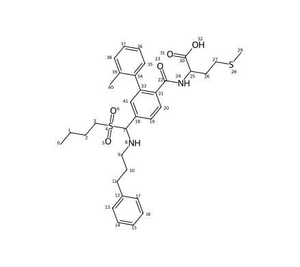 CCCCS(=O)(=O)C(NCCCc1ccccc1)c1ccc(C(=O)NC(CCSC)C(=O)O)c(-c2ccccc2C)c1